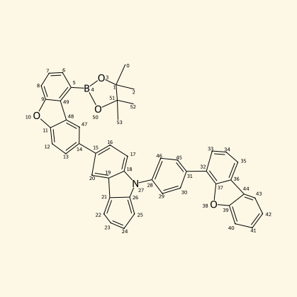 CC1(C)OB(c2cccc3oc4ccc(-c5ccc6c(c5)c5ccccc5n6-c5ccc(-c6cccc7c6oc6ccccc67)cc5)cc4c23)OC1(C)C